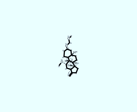 C=C1CC[C@H]2[C@@H]3CC[C@H]4C[C@H](OCOC)CC[C@]4(C)[C@H]3[C@@H](OC)C[C@]12C